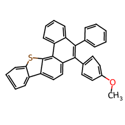 COc1ccc(-c2c(-c3ccccc3)c3ccccc3c3c2ccc2c4ccccc4sc23)cc1